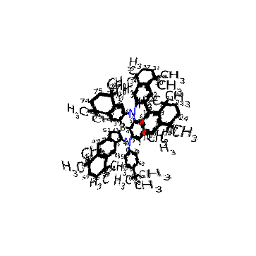 Cc1cc2c3c(c1)N(c1cc4c(cc1-c1cccc5c1C(C)(C)CCC5(C)C)C(C)(C)CCC4(C)C)c1cc4c(cc1B3C1=C(c3cc5c(cc3C1)C(C)(C)CCC5(C)C)N2c1ccc(C(C)(C)C)cc1)C(C)(C)CCC4(C)C